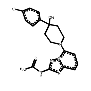 CC(C)(C)C(=O)Nc1nc2cccc(N3CCC(O)(c4ccc(Cl)cc4)CC3)n2n1